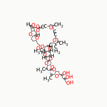 C=C1CC2CC[C@]34C[C@H]5OC6(O3)C3C(OC7CCC(CC(=O)OC8[C@H](CC9OC(CCC1O2)C[C@@H](C)C9=C)O[C@H]1C[C@H]2O[C@]9(CC%10O[C@]%11(C[C@H](C)C%12OC([C@@H](O)C[C@@H](O)CO)CC%12O%11)C[C@H](C)C%10O9)C[C@H]2O[C@H]1[C@@H]8C)O[C@@H]7C3O4)C56